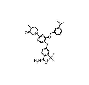 CN1CCN(c2ncc(Sc3ccc(C(N)=O)c(C(F)(F)F)c3)c(OCc3cccc(N(C)C)c3)n2)CC1=O